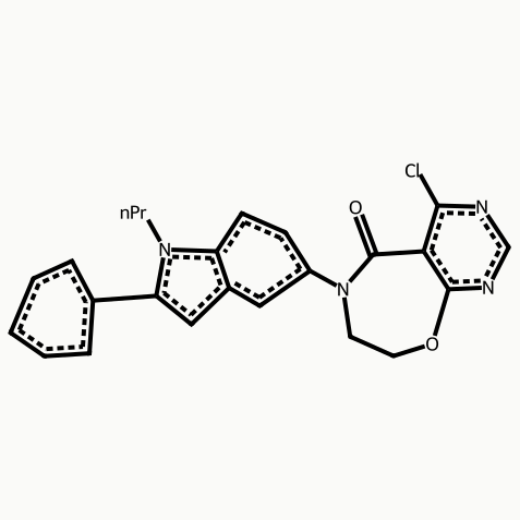 CCCn1c(-c2ccccc2)cc2cc(N3CCOc4ncnc(Cl)c4C3=O)ccc21